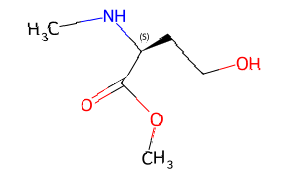 CN[C@@H](CCO)C(=O)OC